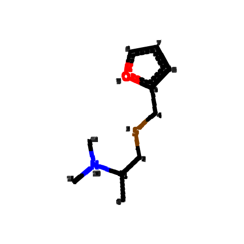 C[C](CSCc1ccco1)N(C)C